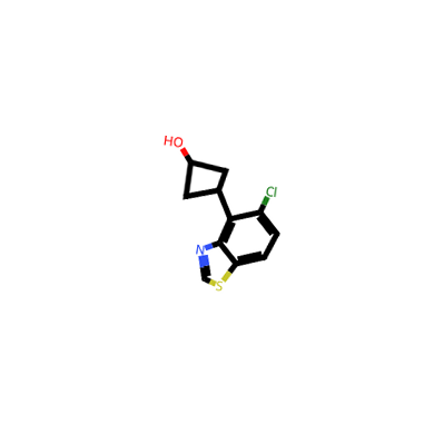 OC1CC(c2c(Cl)ccc3scnc23)C1